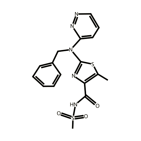 Cc1sc(N(Cc2ccccc2)c2cccnn2)nc1C(=O)NS(C)(=O)=O